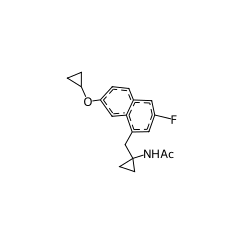 CC(=O)NC1(Cc2cc(F)cc3ccc(OC4CC4)cc23)CC1